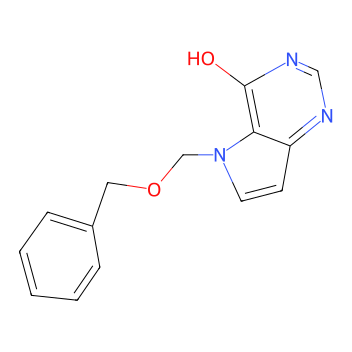 Oc1ncnc2ccn(COCc3ccccc3)c12